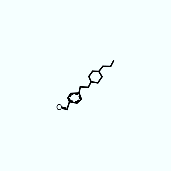 CCCC1CCC(CCc2ccc(C=O)cc2)CC1